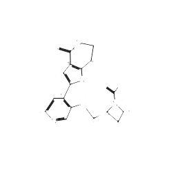 O=C1NCCc2[nH]c(-c3ccncc3OC[C@@H]3CCN3C(=O)O)cc21